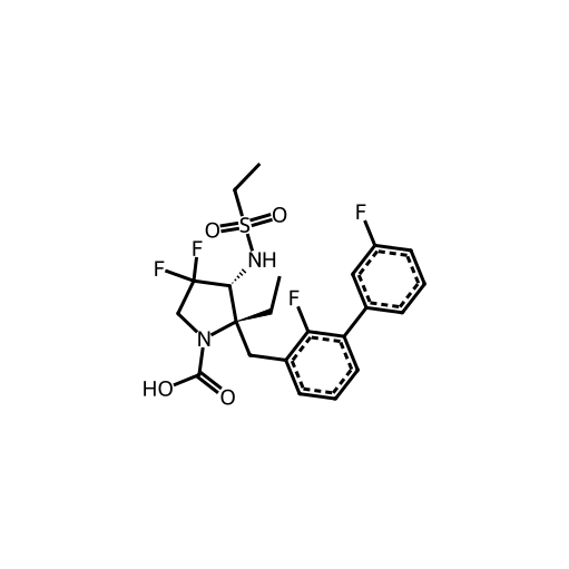 CC[C@]1(Cc2cccc(-c3cccc(F)c3)c2F)[C@@H](NS(=O)(=O)CC)C(F)(F)CN1C(=O)O